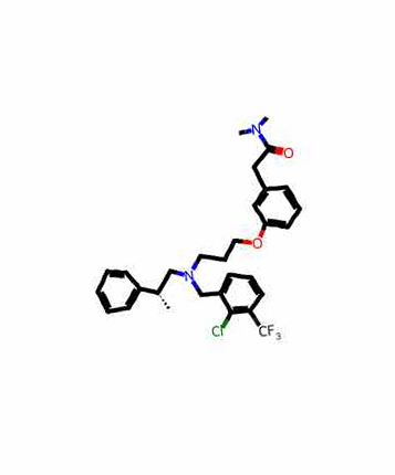 C[C@@H](CN(CCCOc1cccc(CC(=O)N(C)C)c1)Cc1cccc(C(F)(F)F)c1Cl)c1ccccc1